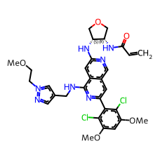 C=CC(=O)N[C@H]1COC[C@H]1Nc1cc2c(NCc3cnn(CCOC)c3)nc(-c3c(Cl)c(OC)cc(OC)c3Cl)cc2cn1